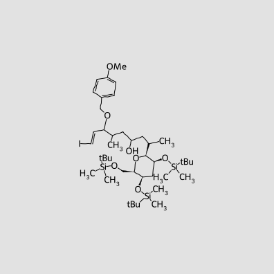 COc1ccc(COC(/C=C/I)C(C)CC(O)CC(C)[C@@H]2O[C@H](CO[Si](C)(C)C(C)(C)C)[C@H](O[Si](C)(C)C(C)(C)C)C[C@@H]2O[Si](C)(C)C(C)(C)C)cc1